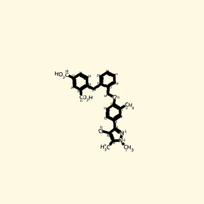 Cc1cc(-c2nn(C)c(C)c2Cl)ccc1OCc1ccccc1Cc1ccc(C(=O)O)cc1C(=O)O